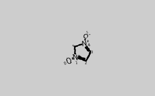 [O-][N+]1=CC=[N+]([O-])C1